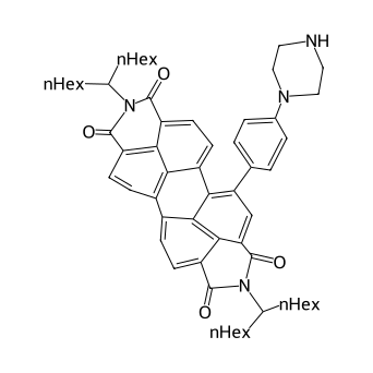 CCCCCCC(CCCCCC)N1C(=O)c2ccc3c4ccc5c6c(cc(-c7ccc(N8CCNCC8)cc7)c(c7ccc(c2c37)C1=O)c64)C(=O)N(C(CCCCCC)CCCCCC)C5=O